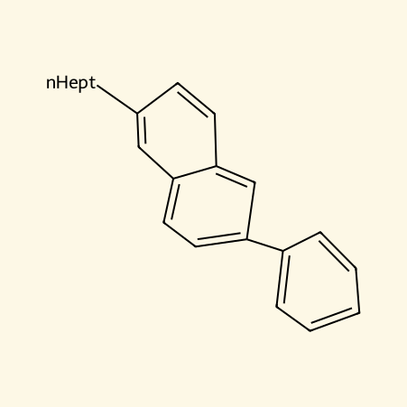 CCCCCCCc1ccc2cc(-c3ccccc3)ccc2c1